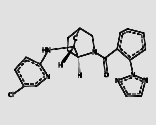 O=C(c1ccccc1-n1nccn1)N1CC2CC[C@H]1[C@H](Nc1ccc(Cl)cn1)C2